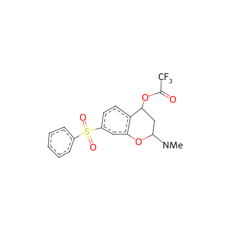 CNC1CC(OC(=O)C(F)(F)F)c2ccc(S(=O)(=O)c3ccccc3)cc2O1